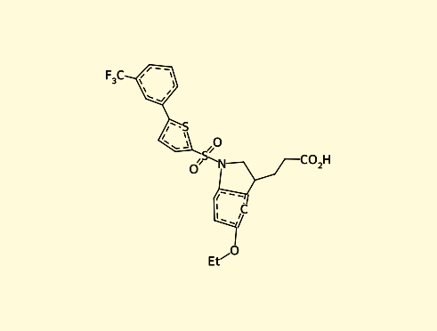 CCOc1ccc2c(c1)C(CCC(=O)O)CN2S(=O)(=O)c1ccc(-c2cccc(C(F)(F)F)c2)s1